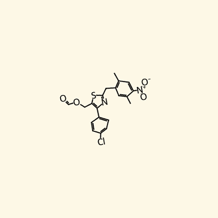 Cc1cc([N+](=O)[O-])c(C)cc1Cc1nc(-c2ccc(Cl)cc2)c(COC=O)s1